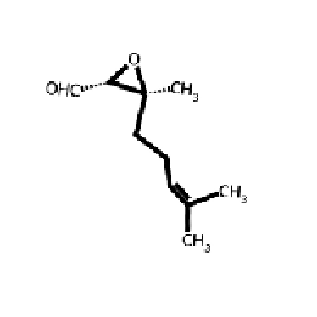 CC(C)=CCC[C@]1(C)O[C@H]1C=O